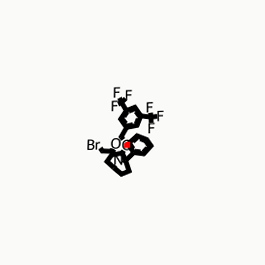 O=C(CBr)N1C2CCC(OCc3cc(C(F)(F)F)cc(C(F)(F)F)c3)C1(c1ccccc1)CC2